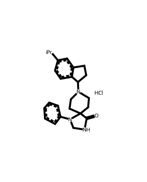 CC(C)c1ccc2c(c1)CCC2N1CCC2(CC1)C(=O)NCN2c1ccccc1.Cl